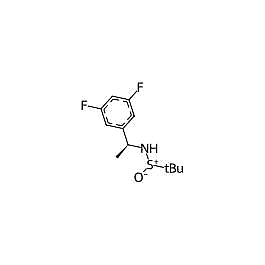 C[C@H](N[S+]([O-])C(C)(C)C)c1cc(F)cc(F)c1